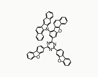 c1ccc2cc3c(cc2c1)c1ccc2ccccc2c1n3-c1cc(-c2nc(-c3ccc4c(c3)oc3ccccc34)nc(-c3ccc4c(c3)oc3ccccc34)n2)cc2oc3c4ccccc4ccc3c12